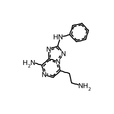 NCCc1cnc(N)c2nc(Nc3ccccc3)nn12